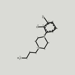 [CH2]CCCN1CCN(c2cccc(Cl)c2Cl)CC1